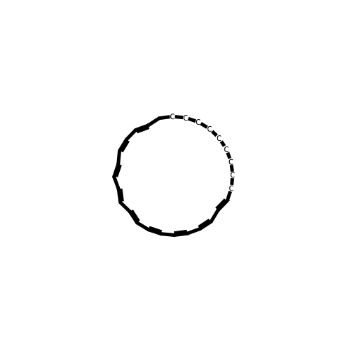 [C]1=C/C=C\C=C/C=C\C=C\C=C\C=C\C=C/C=C/CCCCCCCCCC/1